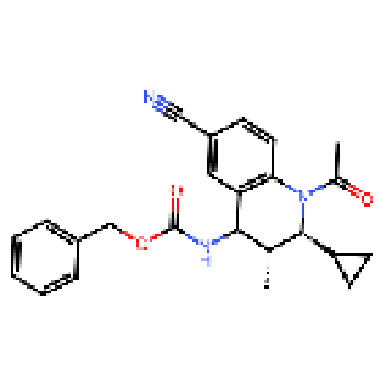 CC(=O)N1c2ccc(C#N)cc2C(NC(=O)OCc2ccccc2)[C@@H](C)[C@@H]1C1CC1